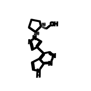 OC[C@H]1CCC[C@H]1n1cc(-c2cnnc3[nH]ccc23)cn1